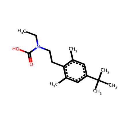 CCN(CCc1c(C)cc(C(C)(C)C)cc1C)C(=O)O